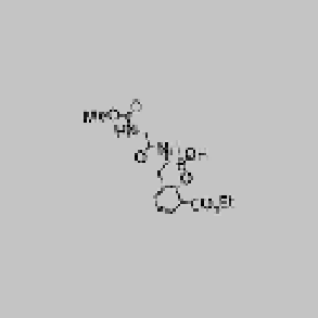 CCOC(=O)c1cccc2c1OB(O)C(NC(=O)CNC(=O)OC)C2